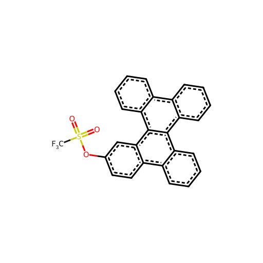 O=S(=O)(Oc1ccc2c3ccccc3c3c4ccccc4c4ccccc4c3c2c1)C(F)(F)F